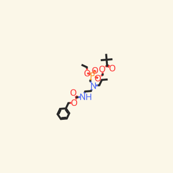 CCCN(CCNC(=O)OCc1ccccc1)CP(=O)(OCC)OCOC(=O)C(C)(C)C